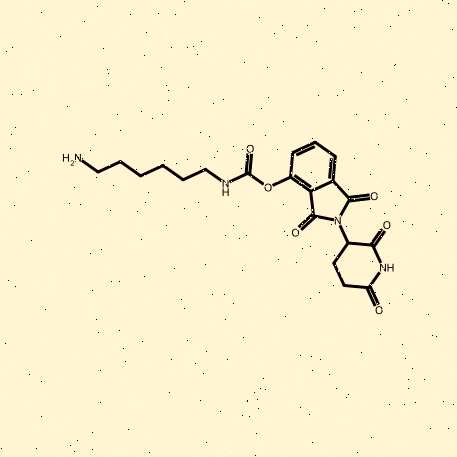 NCCCCCCNC(=O)Oc1cccc2c1C(=O)N(C1CCC(=O)NC1=O)C2=O